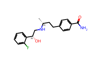 C[C@H](CCc1ccc(C(N)=O)cc1)NC[C@H](O)c1ccccc1F